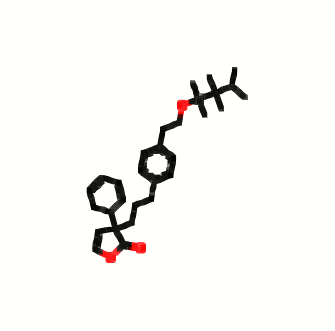 CC(C)C(C)(C)[Si](C)(C)OCCc1ccc(CCCC2(C3C=CC=CC3)C=COC2=O)cc1